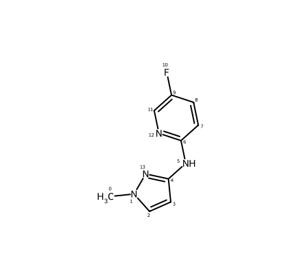 Cn1ccc(Nc2ccc(F)cn2)n1